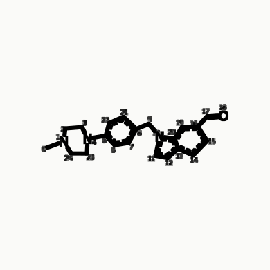 CN1CCN(c2ccc(Cn3ccc4ccc(C=O)cc43)cc2)CC1